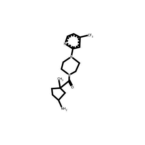 CC1(C(=O)N2CCN(c3cc(C(F)(F)F)ccn3)CC2)CCC(N)C1